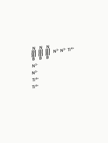 B#N.B#N.B#N.[N-3].[N-3].[N-3].[N-3].[Ti+4].[Ti+4].[Ti+4]